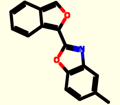 Cc1ccc2oc(-c3occ4ccccc34)nc2c1